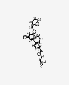 CN(C)CCOCc1ccc2c(c1)CCn1c(OCC3CCCO3)cc(=O)cc1-2